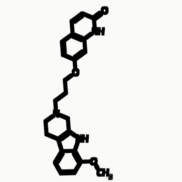 COc1cccc2c3c([nH]c12)CN(CCCOc1ccc2ccc(=O)[nH]c2c1)CC3